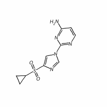 Nc1ccnc(-n2cnc(S(=O)(=O)C3CC3)c2)n1